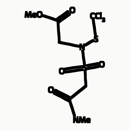 CNC(=O)CS(=O)(=O)N(CC(=O)OC)SC(Cl)(Cl)Cl